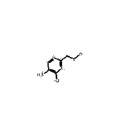 Nc1cnc(CCCl)nc1Cl